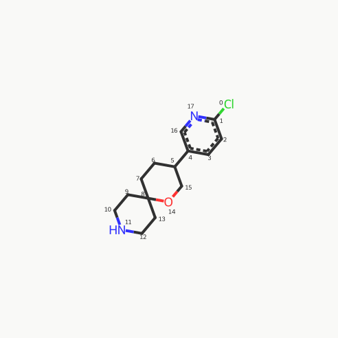 Clc1ccc(C2CCC3(CCNCC3)OC2)cn1